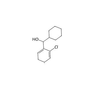 OC(C1=CC[CH]C=C1Cl)C1CCCCC1